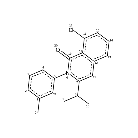 Cc1cccc(-n2c(C(C)C)cc3cccc(Cl)c3c2=O)c1